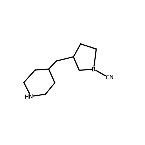 N#CB1CCC(CC2CCNCC2)C1